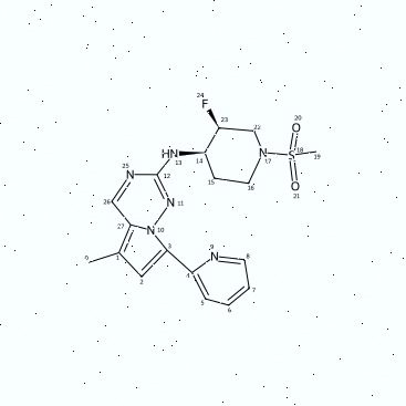 Cc1cc(-c2ccccn2)n2nc(N[C@@H]3CCN(S(C)(=O)=O)C[C@@H]3F)ncc12